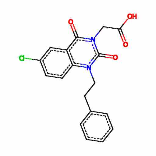 O=C(O)Cn1c(=O)c2cc(Cl)ccc2n(CCc2ccccc2)c1=O